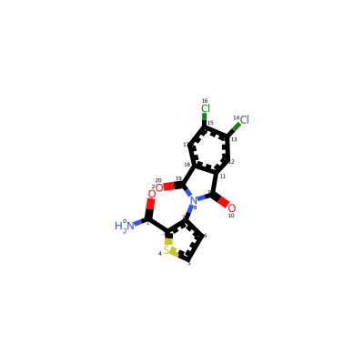 NC(=O)c1sccc1N1C(=O)c2cc(Cl)c(Cl)cc2C1=O